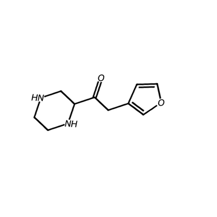 O=C(Cc1ccoc1)C1CNCCN1